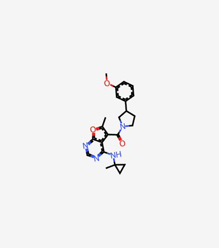 COc1cccc(C2CCN(C(=O)c3c(C)oc4ncnc(NC5(C)CC5)c34)C2)c1